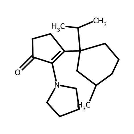 CC1CCCC(C2=C(N3CCCC3)C(=O)CC2)(C(C)C)C1